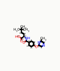 Cc1cncc(Oc2ccc(C(=O)N[C@H](/C=C/C(C)(C)C)C(=O)O)cc2)n1